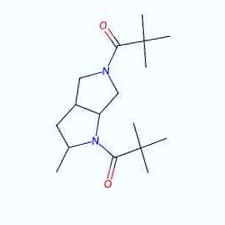 CC1CC2CN(C(=O)C(C)(C)C)CC2N1C(=O)C(C)(C)C